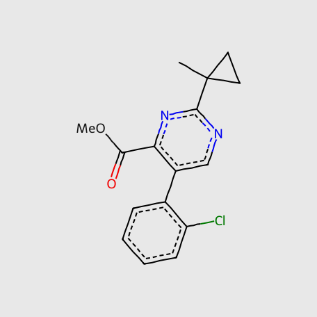 COC(=O)c1nc(C2(C)CC2)ncc1-c1ccccc1Cl